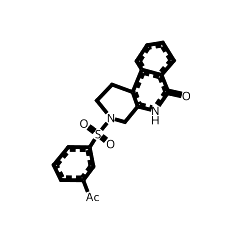 CC(=O)c1cccc(S(=O)(=O)N2CCc3c([nH]c(=O)c4ccccc34)C2)c1